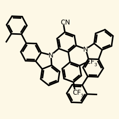 Cc1ccccc1-c1ccc2c3ccccc3n(-c3cc(C#N)cc(-n4c5ccccc5c5ccc(-c6ccccc6C)cc54)c3-c3ccc(C(F)(F)F)cc3C(F)(F)F)c2c1